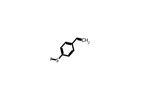 C=Cc1ccc(SI)cc1